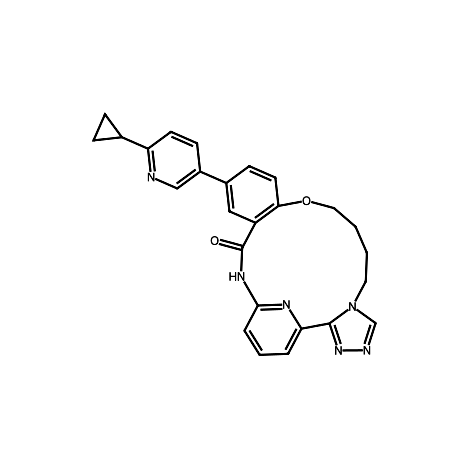 O=C1Nc2cccc(n2)-c2nncn2CCCCOc2ccc(-c3ccc(C4CC4)nc3)cc21